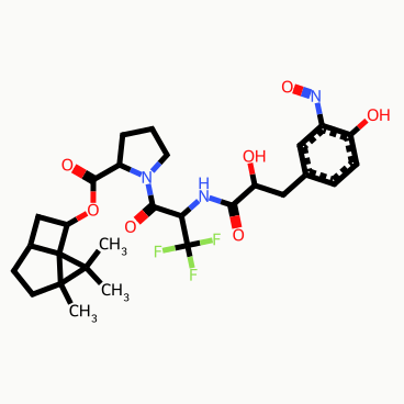 CC1(C)C2(C)CCC3CC(OC(=O)C4CCCN4C(=O)C(NC(=O)C(O)Cc4ccc(O)c(N=O)c4)C(F)(F)F)C312